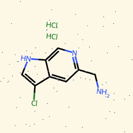 Cl.Cl.NCc1cc2c(Cl)c[nH]c2cn1